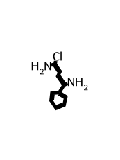 N/C(=C\C=C(/N)Cl)c1ccccc1